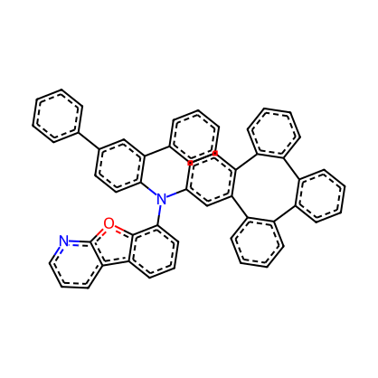 c1ccc(-c2ccc(N(c3ccc4c(c3)-c3ccccc3-c3ccccc3-c3ccccc3-4)c3cccc4c3oc3ncccc34)c(-c3ccccc3)c2)cc1